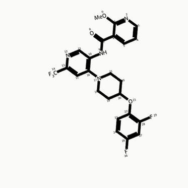 COc1ncccc1C(=O)Nc1cnc(C(F)(F)F)cc1N1CCC(Oc2ccc(F)cc2F)CC1